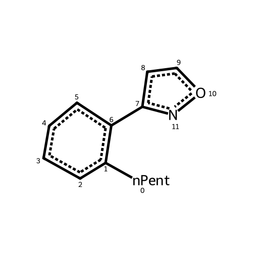 CCCCCc1ccccc1-c1ccon1